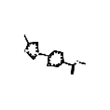 C=C(OC)c1ccc(-n2cnc(C)c2)cc1